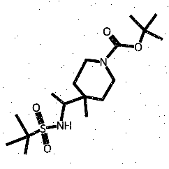 CC(NS(=O)(=O)C(C)(C)C)C1(C)CCN(C(=O)OC(C)(C)C)CC1